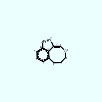 CC(C)/C1=C/OCCCc2cccc(C(C)C)c21